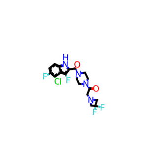 O=C(CN1CC(F)(F)C1)N1CCN(C(=O)c2[nH]c3ccc(F)c(Cl)c3c2F)CC1